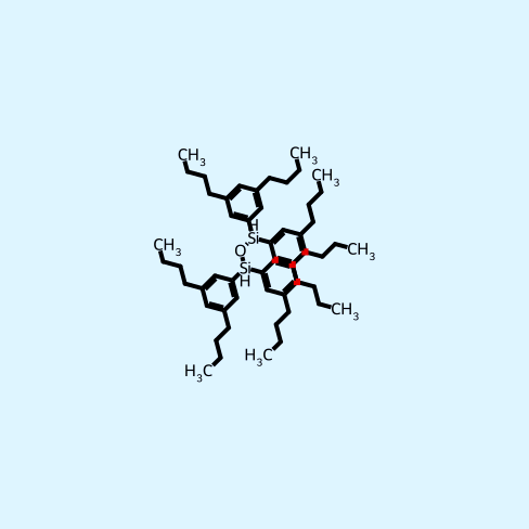 CCCCc1cc(CCCC)cc([SiH](O[SiH](c2cc(CCCC)cc(CCCC)c2)c2cc(CCCC)cc(CCCC)c2)c2cc(CCCC)cc(CCCC)c2)c1